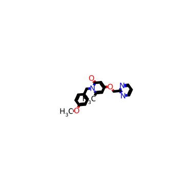 COc1ccc(Cn2c(C)cc(OCc3ncccn3)cc2=O)cc1